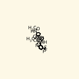 CC(=O)NC1CCC(N2CC[C@H](Nc3ncnc4ccc(C(F)(F)F)cc34)C2=O)C(NC(C)(C)C)C1